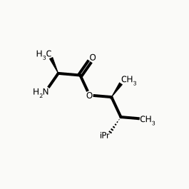 CC(C)[C@@H](C)[C@H](C)OC(=O)[C@H](C)N